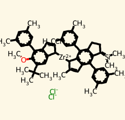 COc1c(C(C)(C)C)cc2c(c1-c1cc(C)cc(C)c1)C=C(C)[CH]2[Zr+2][CH]1C(C)=Cc2c(-c3cc(C)cc(C)c3)c3c(c(-c4cc(C)cc(C)c4)c21)CCC3=[Si](C)C.[Cl-].[Cl-]